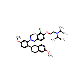 CCN(Cc1ccc(OCCN(C(C)C)C(C)C)c(F)c1)c1cc(OC)ccc1C1CCc2cc(OC)ccc2C1